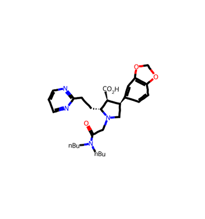 CCCCN(CCCC)C(=O)CN1C[C@H](c2ccc3c(c2)OCO3)[C@H](C(=O)O)[C@H]1CCc1ncccn1